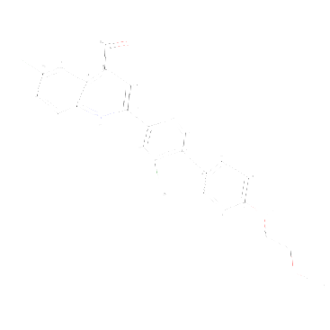 COCCOc1ccc(-c2ccc(-c3cc(C=O)c4cc(F)ccc4n3)cc2F)cc1